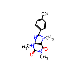 Cn1c(=O)c2c(nc(-c3ccc(C#N)cc3)n2C)n(C)c1=O